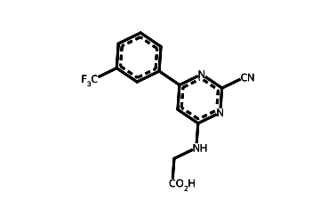 N#Cc1nc(NCC(=O)O)cc(-c2cccc(C(F)(F)F)c2)n1